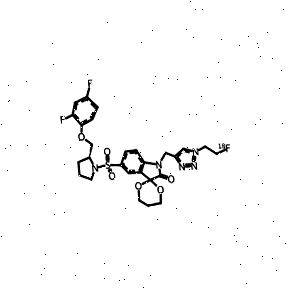 O=C1N(Cc2cn(CC[18F])nn2)c2ccc(S(=O)(=O)N3CCC[C@H]3COc3ccc(F)cc3F)cc2C12OCCCO2